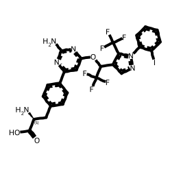 Nc1nc(OC(c2cnn(-c3ccccc3I)c2C(F)(F)F)C(F)(F)F)cc(-c2ccc(C[C@H](N)C(=O)O)cc2)n1